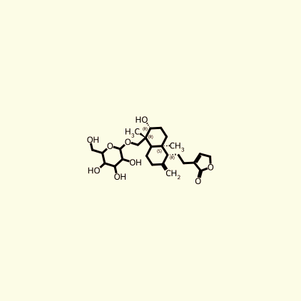 C=C1CCC2[C@](C)(COC3OC(CO)C(O)C(O)C3O)[C@H](O)CC[C@@]2(C)[C@@H]1CCC1=CCOC1=O